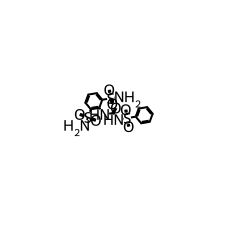 NS(=O)(=O)c1cccc(S(N)(=O)=O)c1NC(=O)NS(=O)(=O)c1ccccc1